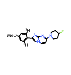 [3H]c1cc(OC)cc([3H])c1-c1cn2ccc(N3CCC(F)CC3)nc2n1